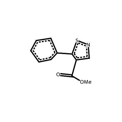 COC(=O)c1cnsc1-c1ccccc1